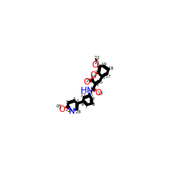 COc1ccc(-c2cccc(NC(=O)c3cc4cccc(OC)c4oc3=O)c2)cn1